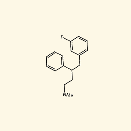 CNCCC(Cc1cccc(F)c1)c1ccccc1